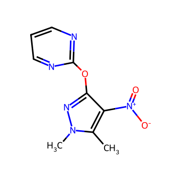 Cc1c([N+](=O)[O-])c(Oc2ncccn2)nn1C